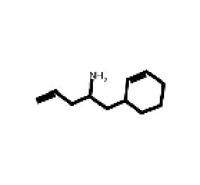 C=CCC(N)CC1C=CCCC1